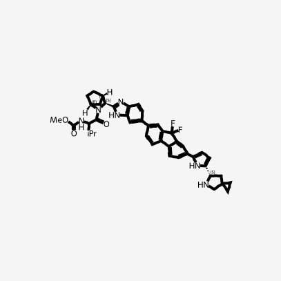 COC(=O)NC(C(=O)N1[C@@H]2CC[C@@H](C2)[C@H]1c1nc2ccc(-c3ccc4c(c3)C(F)(F)c3cc(-c5ccc([C@@H]6CC7(CC7)CN6)[nH]5)ccc3-4)cc2[nH]1)C(C)C